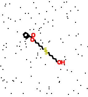 O=C(OCCCCCCSSCCCCCCO)C1CC2C=CC1C2